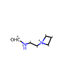 O=[C]NCCN1CCC1